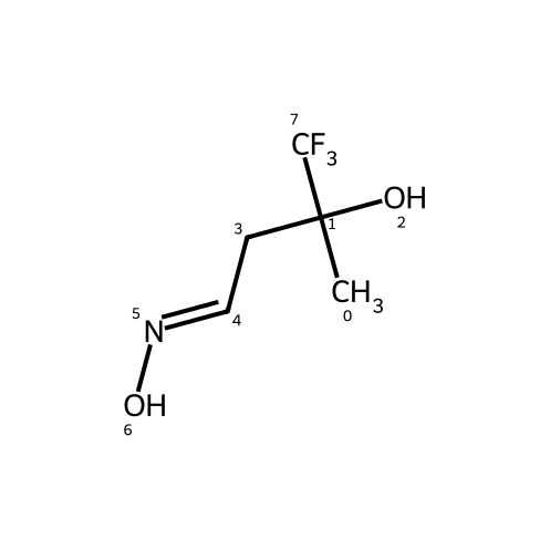 CC(O)(CC=NO)C(F)(F)F